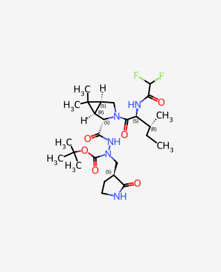 CC[C@@H](C)[C@H](NC(=O)C(F)F)C(=O)N1C[C@H]2[C@@H]([C@H]1C(=O)NN(C[C@@H]1CCNC1=O)C(=O)OC(C)(C)C)C2(C)C